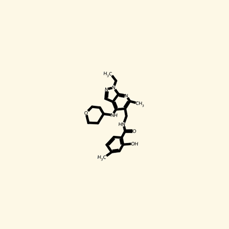 CCn1ncc2c(NC3CCOCC3)c(CNC(=O)c3ccc(C)cc3O)c(C)nc21